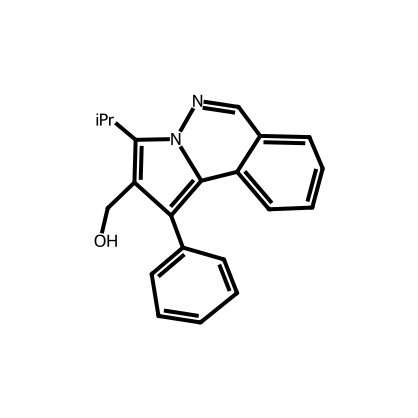 CC(C)c1c(CO)c(-c2ccccc2)c2c3ccccc3cnn12